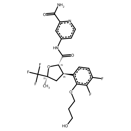 C[C@@]1(C(F)(F)F)C[C@H](c2ccc(F)c(F)c2OCCCO)[C@@H](C(=O)Nc2ccnc(C(N)=O)c2)O1